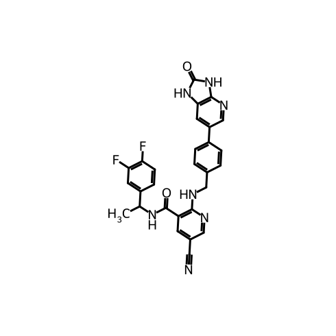 CC(NC(=O)c1cc(C#N)cnc1NCc1ccc(-c2cnc3[nH]c(=O)[nH]c3c2)cc1)c1ccc(F)c(F)c1